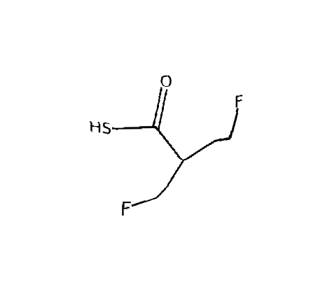 O=C(S)C(CF)CF